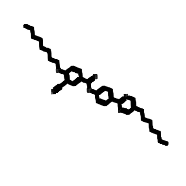 CCCCCCCCOc1ccc(C(=O)Oc2ccc(-c3ncc(CCCCCCC)cn3)cc2)cc1C#N